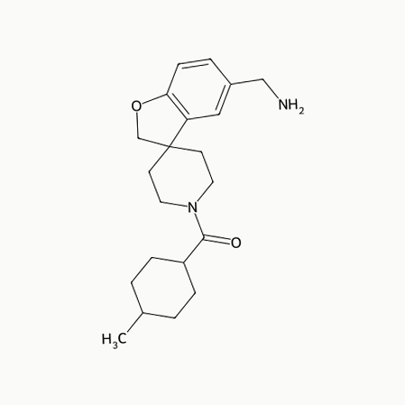 CC1CCC(C(=O)N2CCC3(CC2)COc2ccc(CN)cc23)CC1